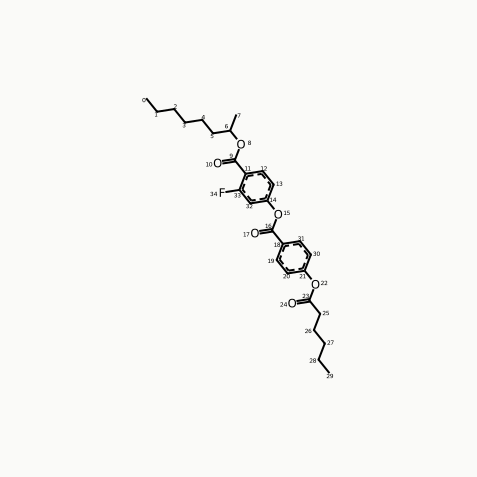 CCCCCCC(C)OC(=O)c1ccc(OC(=O)c2ccc(OC(=O)CCCCC)cc2)cc1F